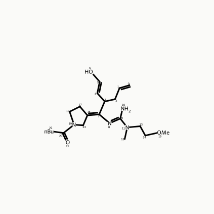 C=CCC(/C=C/O)C(/N=C(\N)N(C)CCOC)=C1\CCN(C(=O)CCCC)C1